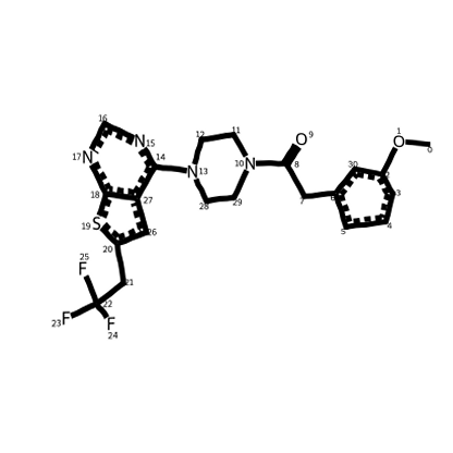 COc1cccc(CC(=O)N2CCN(c3ncnc4sc(CC(F)(F)F)cc34)CC2)c1